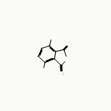 Cc1ccc(C)c2c1C(=N)NC2=N